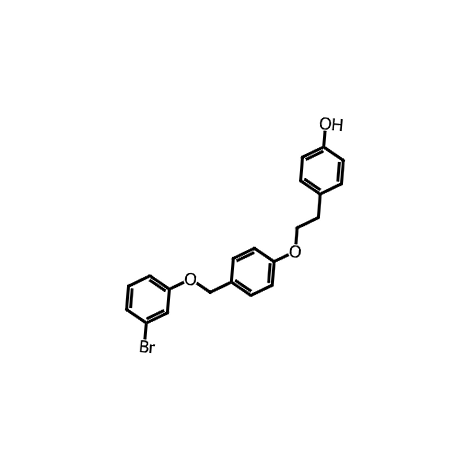 Oc1ccc(CCOc2ccc(COc3cccc(Br)c3)cc2)cc1